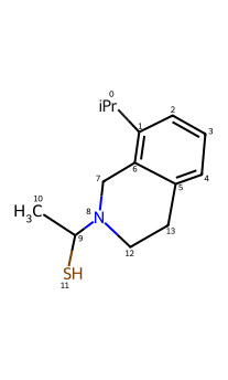 CC(C)c1cccc2c1CN(C(C)S)CC2